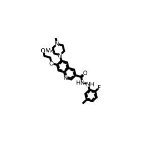 COCCOc1cc2ncc(C(=O)NNc3cc(C)ccc3F)cc2cc1N1CCN(C)CC1